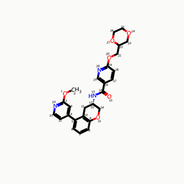 COc1cc(-c2cccc3c2C[C@H](NC(=O)c2ccc(OCC4COCCO4)nc2)CO3)ccn1